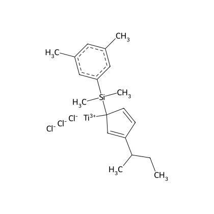 CCC(C)C1=C[C]([Ti+3])([Si](C)(C)c2cc(C)cc(C)c2)C=C1.[Cl-].[Cl-].[Cl-]